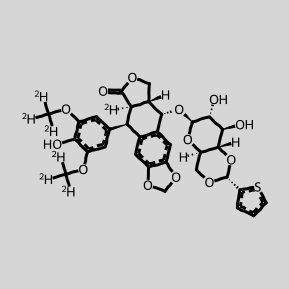 [2H]C([2H])([2H])Oc1cc([C@@H]2c3cc4c(cc3[C@@H](O[C@@H]3O[C@@H]5CO[C@@H](c6cccs6)O[C@H]5[C@H](O)[C@H]3O)[C@H]3COC(=O)[C@]23[2H])OCO4)cc(OC([2H])([2H])[2H])c1O